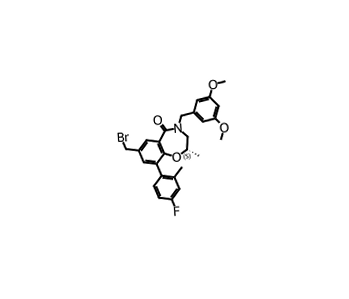 COc1cc(CN2C[C@H](C)Oc3c(cc(CBr)cc3-c3ccc(F)cc3C)C2=O)cc(OC)c1